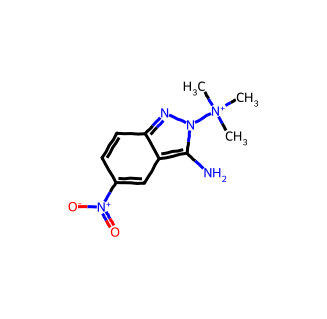 C[N+](C)(C)n1nc2ccc([N+](=O)[O-])cc2c1N